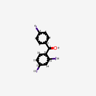 O=C(c1ccc(I)cc1)c1ccc(I)cc1I